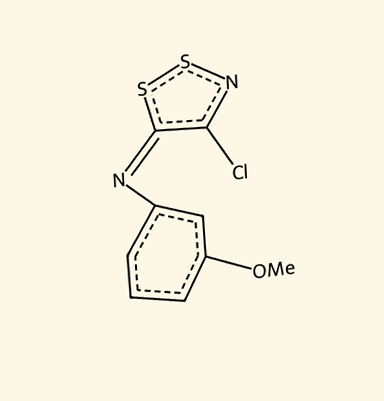 COc1cccc(N=c2ssnc2Cl)c1